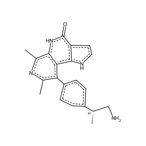 Cc1nc(C)c2[nH]c(=O)c3cc[nH]c3c2c1-c1ccc([C@@H](C)CN)cc1